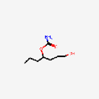 CCCC(CCCO)OC(N)=O